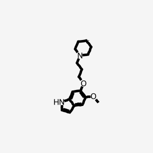 COc1cc2cc[nH]c2cc1OCCCN1CC[CH]CC1